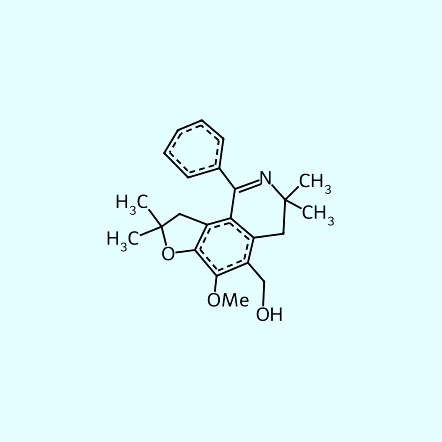 COc1c(CO)c2c(c3c1OC(C)(C)C3)C(c1ccccc1)=NC(C)(C)C2